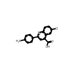 Nc1ccc(-c2cc(C(=O)O)c3cc(Cl)ccc3n2)cc1